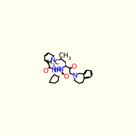 CC(C)C[C@H](NC(=O)[C@@H]1CCCC[C@@H]1NC(=O)c1ccccn1)C(=O)CN1CCCc2ccccc2C1